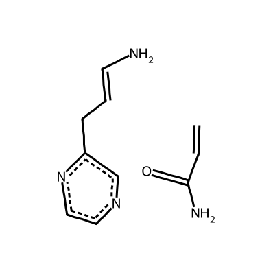 C=CC(N)=O.NC=CCc1cnccn1